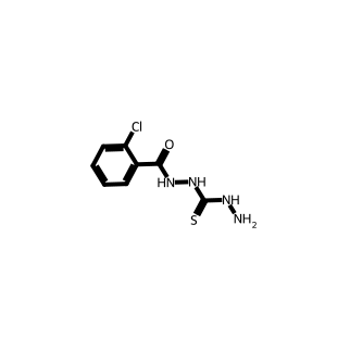 NNC(=S)NNC(=O)c1ccccc1Cl